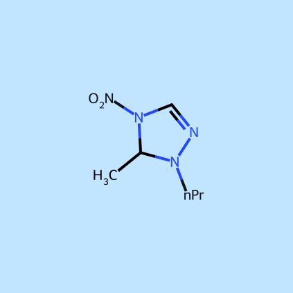 CCCN1N=CN([N+](=O)[O-])C1C